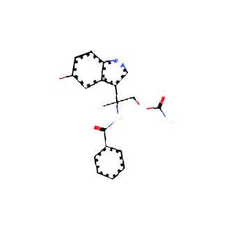 CC(C)(C)C(COC(N)=O)(NC(=O)c1ccccc1)c1c[nH]c2ccc(Br)cc12